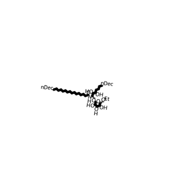 CCCCCCCCCCCCCCCCCCCCCCCCCC(=O)N[C@@H](CO[C@H]1O[C@H](COCC)[C@H](O)[C@H](O)[C@H]1O)[C@H](O)[C@H](O)CCCCCCCCCCCCCC